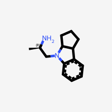 C[C@@H](N)CN1c2ccccc2C2CCCC21